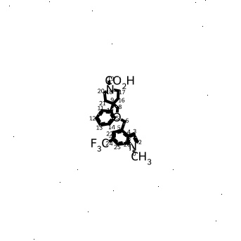 Cn1ccc2c(COCC3(c4ccccc4)CCN(C(=O)O)CC3)cc(C(F)(F)F)cc21